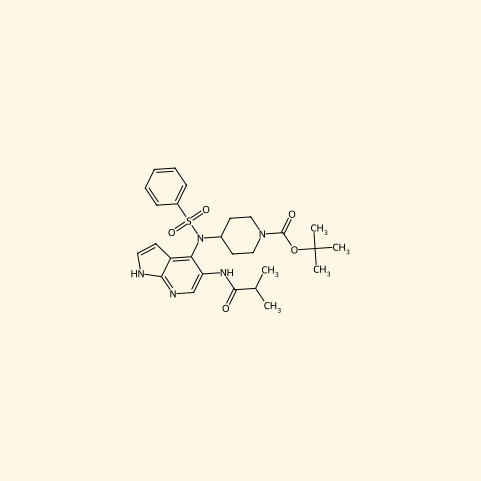 CC(C)C(=O)Nc1cnc2[nH]ccc2c1N(C1CCN(C(=O)OC(C)(C)C)CC1)S(=O)(=O)c1ccccc1